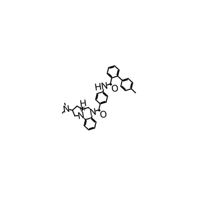 Cc1ccc(-c2ccccc2C(=O)Nc2ccc(C(=O)N3C[C@H]4CC(N(C)C)CN4c4ccccc43)cc2)cc1